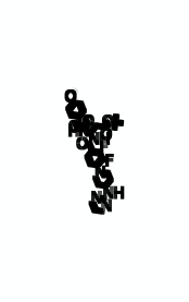 COc1ccc(S(=O)(=O)NC(CC(=O)OC(C)(C)C)NC(=O)c2ccc(N3CCC(Nc4ncccn4)CC3)c(F)c2F)cc1